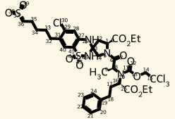 CCOC(=O)[C@@H]1CC2(CN1C(=O)[C@H](C)N(C(=O)OCC(Cl)(Cl)Cl)[C@@H](CCc1ccccc1)C(=O)OCC)Nc1cc(Cl)c(CCCCC=S(=O)=O)cc1S(=O)(=O)N2